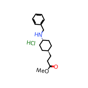 COC(=O)CC[C@H]1CC[C@H](NCc2ccccc2)CC1.Cl